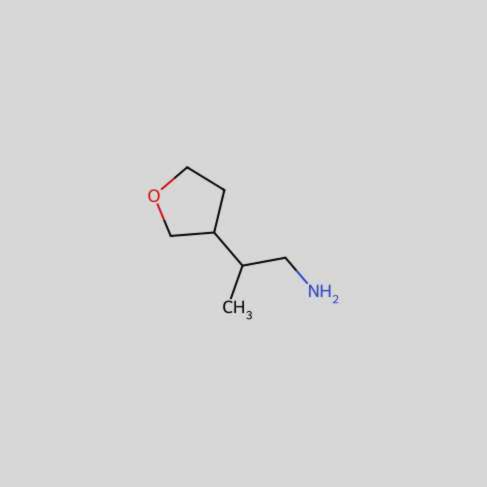 CC(CN)C1CCOC1